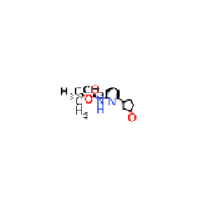 CC(C)(C)OC(=O)Nc1cccc(C2CCC(=O)C2)n1